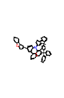 CC1(C)c2ccccc2-c2ccc(N(c3ccc(-c4ccc5oc6ccccc6c5c4)cc3-c3ccccc3)c3cccc4c3-c3ccccc3C4(c3ccccc3)c3ccccc3)cc21